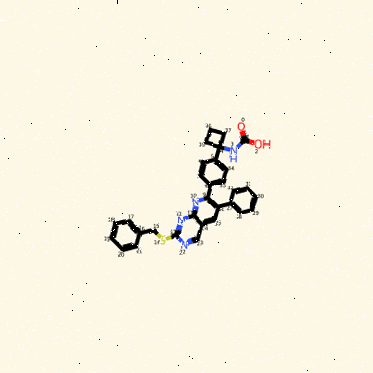 O=C(O)NC1(c2ccc(-c3nc4nc(SCc5ccccc5)ncc4cc3-c3ccccc3)cc2)CCC1